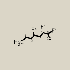 [CH2]CCC(F)C[C@H](F)C(F)F